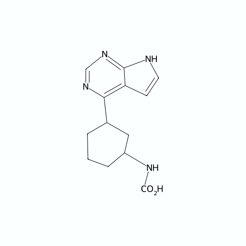 O=C(O)NC1CCCC(c2ncnc3[nH]ccc23)C1